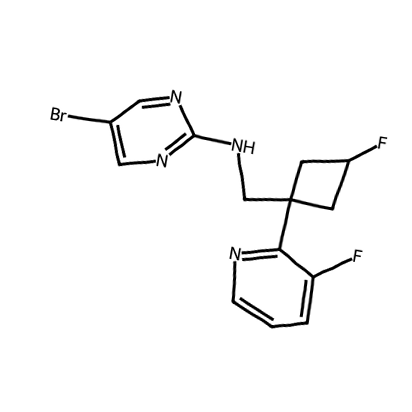 Fc1cccnc1C1(CNc2ncc(Br)cn2)CC(F)C1